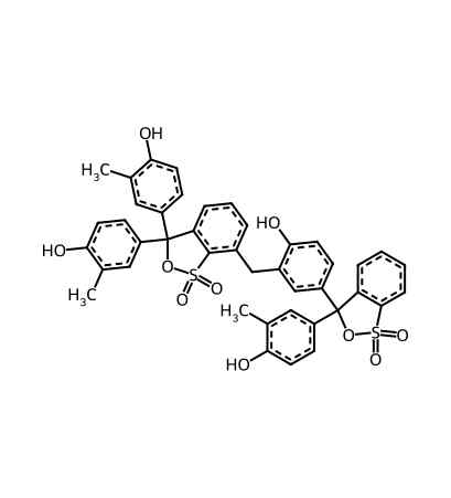 Cc1cc(C2(c3ccc(O)c(Cc4cccc5c4S(=O)(=O)OC5(c4ccc(O)c(C)c4)c4ccc(O)c(C)c4)c3)OS(=O)(=O)c3ccccc32)ccc1O